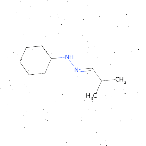 CC(C)C=NNC1CCCCC1